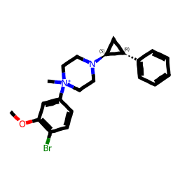 COc1cc([N+]2(C)CCN([C@H]3C[C@@H]3c3ccccc3)CC2)ccc1Br